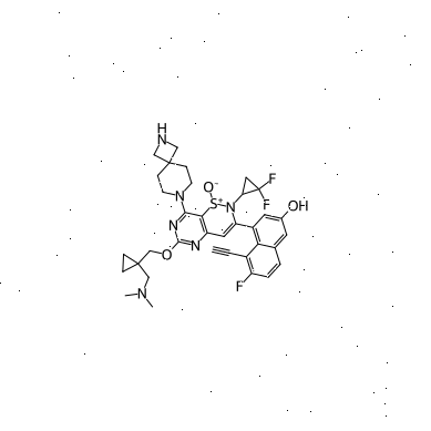 C#Cc1c(F)ccc2cc(O)cc(C3=Cc4nc(OCC5(CN(C)C)CC5)nc(N5CCC6(CC5)CNC6)c4[S+]([O-])N3C3CC3(F)F)c12